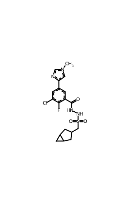 Cn1cnc(-c2cc(Cl)c(F)c(C(=O)NNS(=O)(=O)CC3CC4CC4C3)c2)c1